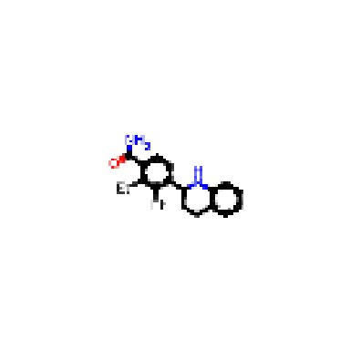 CCc1c(C(N)=O)ccc(C2CCc3ccccc3N2)c1CC